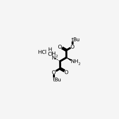 CC(C)(C)OC(=O)[C@@H](N)[C@@H](N)C(=O)OC(C)(C)C.Cl.Cl